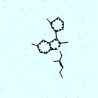 Cc1c(-c2cccc(C(C)(C)C)c2)c2cc(C(=O)O)ccc2n1CC(F)=CCN.Cl